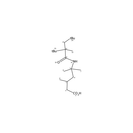 CC(CC(=O)O)CC(C)(C)NC(=O)C(C)(CC(C)(C)C)C(C)(C)C